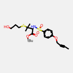 CC#CCOc1ccc(S(=O)(=O)N[C@@H](C(=O)OC(C)(C)C)C(C)(C)SCCCO)cc1